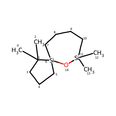 CC1(C)CCC[Si]12CCCC[Si](C)(C)O2